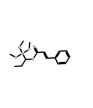 CCC(OC(=O)/C=C/c1ccccc1)[Si](OC)(OC)OC